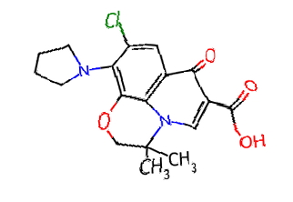 CC1(C)COc2c(N3CCCC3)c(Cl)cc3c(=O)c(C(=O)O)cn1c23